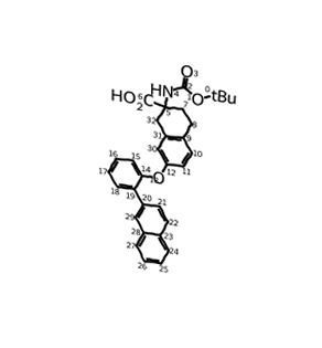 CC(C)(C)OC(=O)NC1(C(=O)O)CCc2ccc(Oc3ccccc3-c3ccc4ccccc4c3)cc2C1